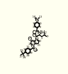 CC(C)CC(NC(=O)c1ccc(N(C)C)cc1)C(=O)N1CCC2C1C(=O)CN2C(=O)c1ccc(C(C)(C)C)cc1